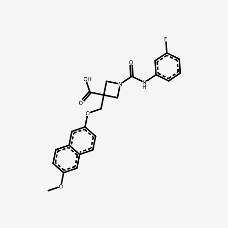 COc1ccc2cc(OCC3(C(=O)O)CN(C(=O)Nc4cccc(F)c4)C3)ccc2c1